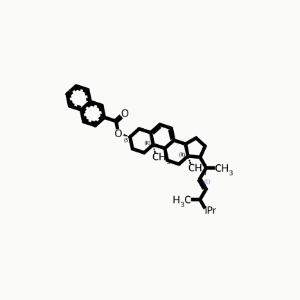 CC(C)C(C)/C=C/C(C)C1CCC2C3=CC=C4C[C@@H](OC(=O)c5ccc6ccccc6c5)CC[C@]4(C)C3CC[C@@]21C